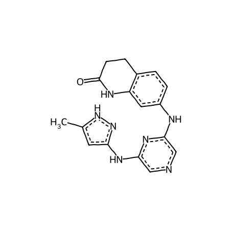 Cc1cc(Nc2cncc(Nc3ccc4c(c3)NC(=O)CC4)n2)n[nH]1